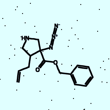 C=CCC1CNCC1(N=[N+]=[N-])C(=O)OCc1ccccc1